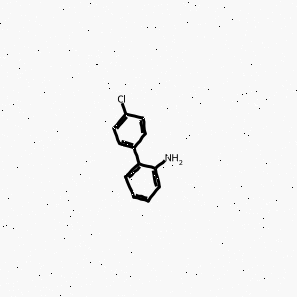 Nc1ccccc1-c1ccc(Cl)cc1